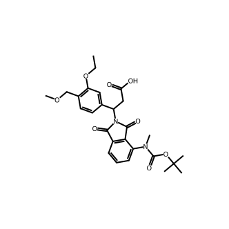 CCOc1cc(C(CC(=O)O)N2C(=O)c3cccc(N(C)C(=O)OC(C)(C)C)c3C2=O)ccc1COC